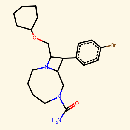 NC(=O)N1CCCCN2C(COC3CCCCC3)C(c3ccc(Br)cc3)C2C1